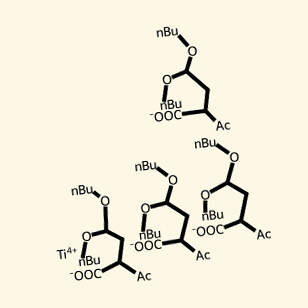 CCCCOC(CC(C(C)=O)C(=O)[O-])OCCCC.CCCCOC(CC(C(C)=O)C(=O)[O-])OCCCC.CCCCOC(CC(C(C)=O)C(=O)[O-])OCCCC.CCCCOC(CC(C(C)=O)C(=O)[O-])OCCCC.[Ti+4]